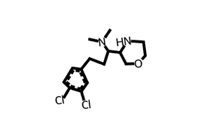 CN(C)C(CCc1ccc(Cl)c(Cl)c1)C1COCCN1